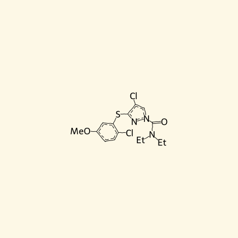 CCN(CC)C(=O)n1cc(Cl)c(Sc2cc(OC)ccc2Cl)n1